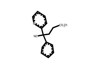 CCOC(=O)CCC(C#N)(c1ccccc1)c1ccccn1